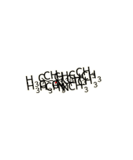 CC(CC(C)(C)c1cn(C(C)(C)CC(C)C(C)(C)C)nn1)C(C)(C)C